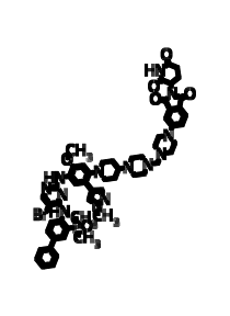 COc1cc(N2CCC(N3CCN(CN4CCN(c5ccc6c(c5)C(=O)N(C5CCC(=O)NC5=O)C6=O)CC4)CC3)CC2)c(-c2cnn(C)c2)cc1Nc1ncc(Br)c(Nc2ccc(-c3ccccc3)cc2P(C)(C)=O)n1